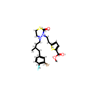 COC(=O)c1ccc(CCN2C(=O)SCCN2CCC(C)Cc2ccc(F)c(Br)c2)s1